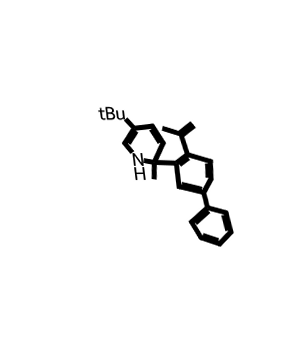 C=C(C)c1ccc(-c2ccccc2)cc1C1(C)C=CC(C(C)(C)C)=CN1